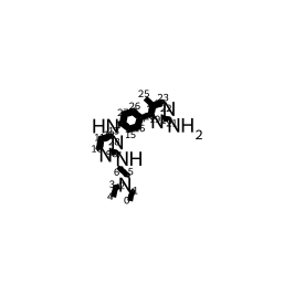 CCN(CC)CCNc1nccc(Nc2ccc(-c3nc(N)ncc3C)cc2)n1